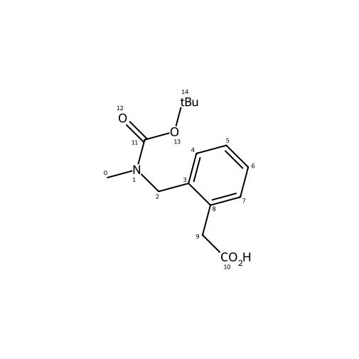 CN(Cc1ccccc1CC(=O)O)C(=O)OC(C)(C)C